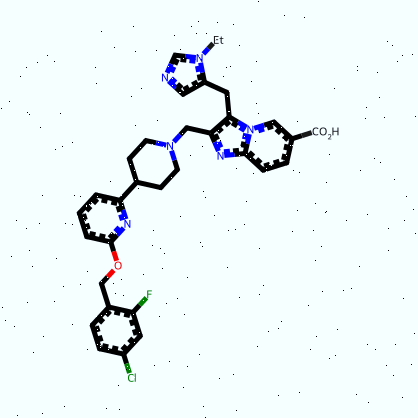 CCn1cncc1Cc1c(CN2CCC(c3cccc(OCc4ccc(Cl)cc4F)n3)CC2)nc2ccc(C(=O)O)cn12